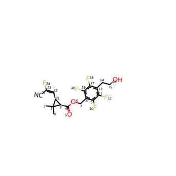 CC1(C)[C@H](C(=O)OCc2c(F)c(F)c(CCO)c(F)c2F)[C@@H]1/C=C(/F)C#N